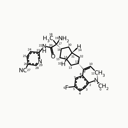 C=Nc1ccc(F)cc1/C(=C\C)[C@@H]1C[C@@H]2C[C@H](C(C)(N)C(=O)Nc3ccc(C#N)cn3)C[C@@H]2C1